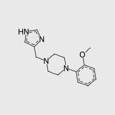 COc1ccccc1N1CCN(Cc2c[nH]cn2)CC1